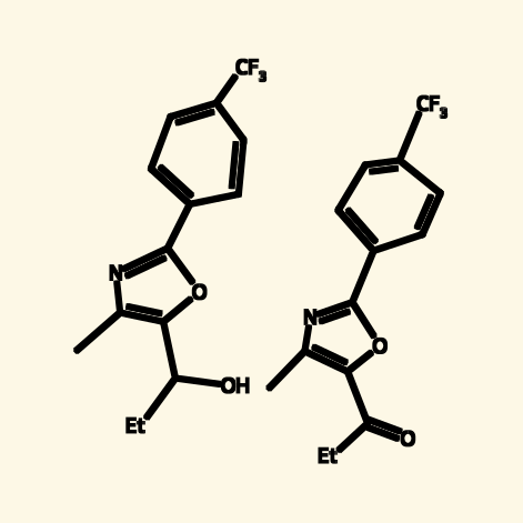 CCC(=O)c1oc(-c2ccc(C(F)(F)F)cc2)nc1C.CCC(O)c1oc(-c2ccc(C(F)(F)F)cc2)nc1C